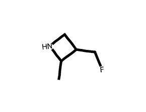 CC1NCC1CF